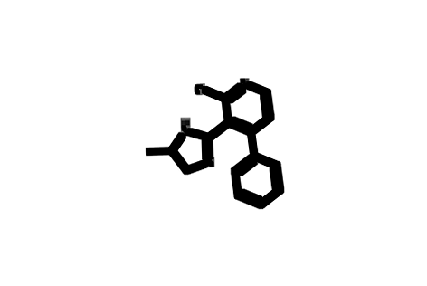 CC1CN=C(c2c(-c3ccccc3)ccnc2Cl)N1